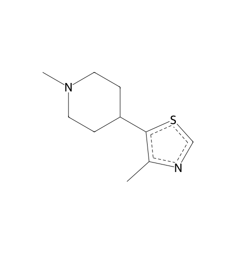 Cc1ncsc1C1CCN(C)CC1